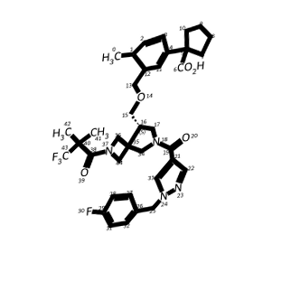 CC1C=CC(C2(C(=O)O)CCCC2)=CC1COC[C@@H]1CN(C(=O)c2cnn(Cc3ccc(F)cc3)c2)CC12CN(C(=O)C(C)(C)C(F)(F)F)C2